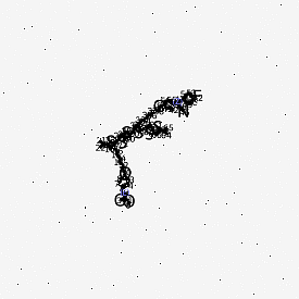 COC(=O)/C=C/c1ccc(OCCCCCCc2cc(C(C)C)sc2-c2cc3sc(-c4cc(CCCCCCOc5ccc(/C(C#N)=C/c6ccc(F)cc6)cc5)c(-c5cc6sc(C(C)C)cc6s5)s4)cc3s2)cc1